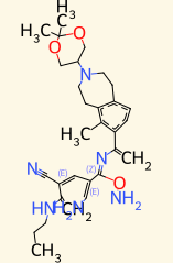 C=C(NCCC)\C(C#N)=C/C(=C\N)C(=N/C(=C)c1ccc2c(c1C)CCN(C1COC(C)(C)OC1)CC2)/ON